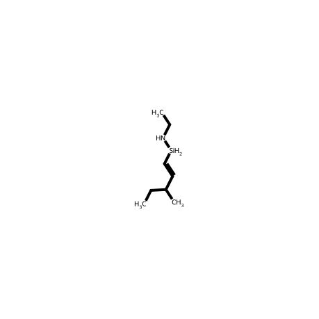 CCN[SiH2]C=CC(C)CC